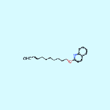 O=CC=CCCCCCCCOc1ccc2ccccc2n1